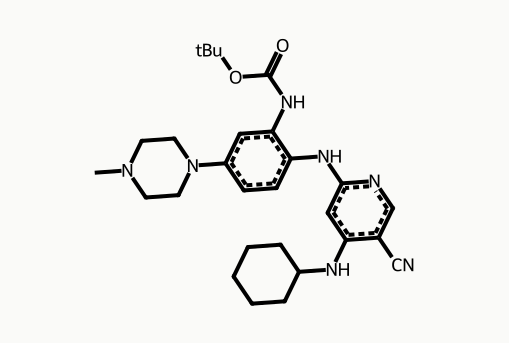 CN1CCN(c2ccc(Nc3cc(NC4CCCCC4)c(C#N)cn3)c(NC(=O)OC(C)(C)C)c2)CC1